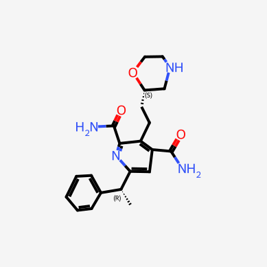 C[C@H](c1ccccc1)c1cc(C(N)=O)c(CC[C@H]2CNCCO2)c(C(N)=O)n1